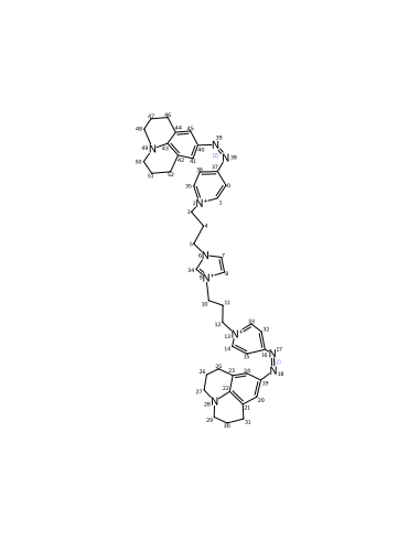 c1c[n+](CCCn2cc[n+](CCC[n+]3ccc(/N=N\c4cc5c6c(c4)CCCN6CCC5)cc3)c2)ccc1/N=N\c1cc2c3c(c1)CCCN3CCC2